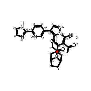 CC(=O)c1c(C2CC3CCC(C2)N3C(=O)CO)nc2c(-c3ccc(-c4ncc[nH]4)nc3)cnn2c1N